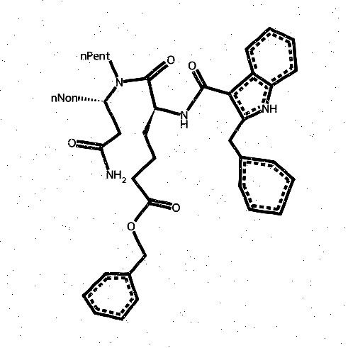 CCCCCCCCC[C@@H](CC(N)=O)N(CCCCC)C(=O)[C@H](CCCC(=O)OCc1ccccc1)NC(=O)c1c(Cc2ccccc2)[nH]c2ccccc12